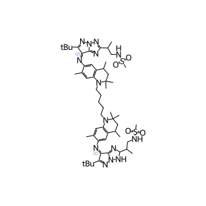 Cc1cc2c(cc1/N=C1\C3=NC(C(C)CNS(C)(=O)=O)NN3N=C1C(C)(C)C)C(C)CC(C)(C)N2CCCCCN1c2cc(C)c(/N=C3/C(C(C)(C)C)=Nn4nc(C(C)CNS(C)(=O)=O)nc43)cc2C(C)CC1(C)C